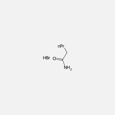 Br.CCCCC(N)=O